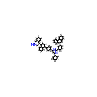 C1=c2ccccc2=C(c2ccc(-c3ccc(-c4cc(-c5ccccc5)nc(-c5cccc(-c6cc7ccccc7c7ccccc67)c5)n4)cc3)c3ccccc23)CN1